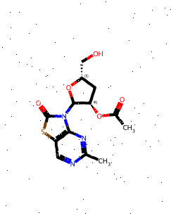 CC(=O)O[C@@H]1C[C@@H](CO)OC1n1c(=O)sc2cnc(C)nc21